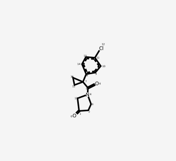 O=C1CCN(C(=O)C2(c3ccc(Cl)cc3)CC2)C1